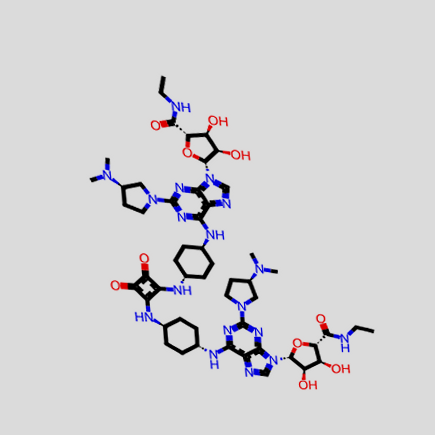 CCNC(=O)[C@H]1O[C@@H](n2cnc3c(N[C@H]4CC[C@H](Nc5c(N[C@H]6CC[C@H](Nc7nc(N8CC[C@@H](N(C)C)C8)nc8c7ncn8[C@@H]7O[C@H](C(=O)NCC)[C@@H](O)[C@H]7O)CC6)c(=O)c5=O)CC4)nc(N4CC[C@@H](N(C)C)C4)nc32)[C@H](O)[C@@H]1O